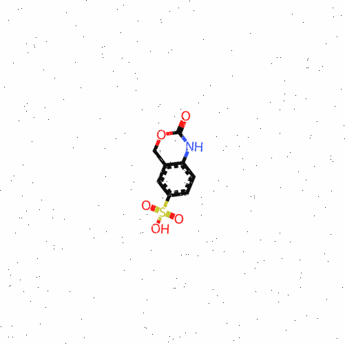 O=C1Nc2ccc(S(=O)(=O)O)cc2CO1